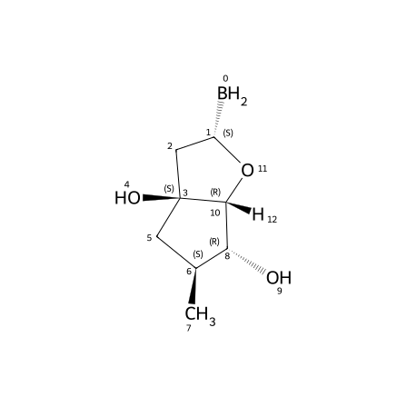 B[C@H]1C[C@@]2(O)C[C@H](C)[C@@H](O)[C@H]2O1